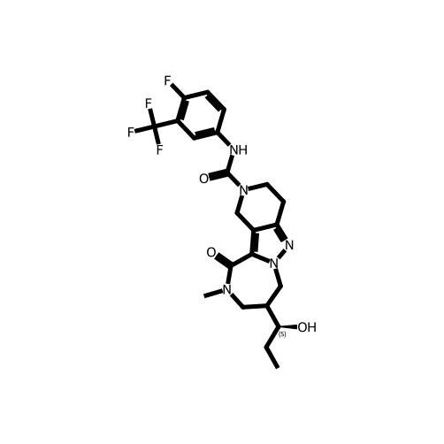 CC[C@H](O)C1CN(C)C(=O)c2c3c(nn2C1)CCN(C(=O)Nc1ccc(F)c(C(F)(F)F)c1)C3